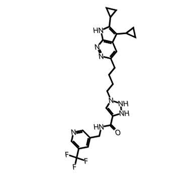 O=C(NCc1cncc(C(F)(F)F)c1)C1=CN(CCCCc2cc3c(C4CC4)c(C4CC4)[nH]c3nn2)NN1